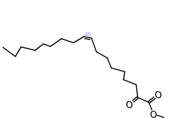 CCCCCCCC/C=C\CCCCCCC(=O)C(=O)OC